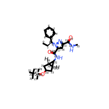 CC[C@@H](c1ccccc1)n1nc(C(=O)NC)cc1C(=O)NC1[C@H]2CC(O[Si](C)(C)C(C)(C)C)C[C@@H]12